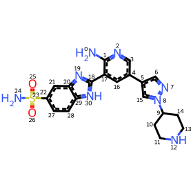 Nc1ncc(-c2cnn(C3CCNCC3)c2)cc1-c1nc2cc(S(N)(=O)=O)ccc2[nH]1